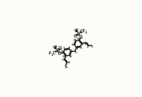 CC=Cc1cc(Cc2ccc(OS(=O)(=O)C(F)(F)F)c(C=CC)c2)ccc1OS(=O)(=O)C(F)(F)F